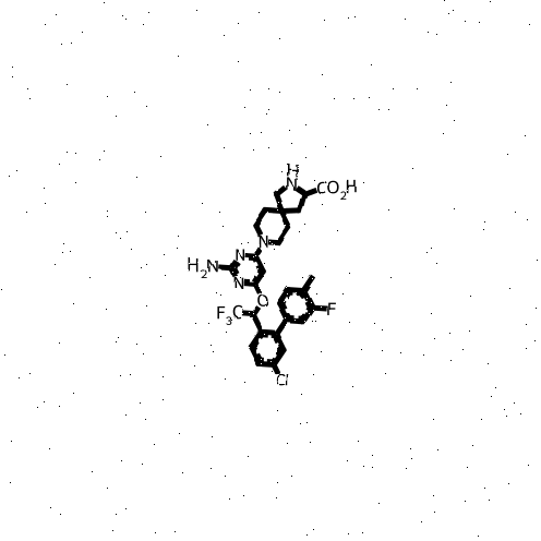 Cc1ccc(-c2cc(Cl)ccc2C(Oc2cc(N3CCC4(CC3)CNC(C(=O)O)C4)nc(N)n2)C(F)(F)F)cc1F